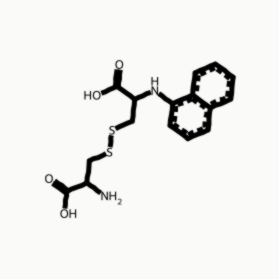 NC(CSSCC(Nc1cccc2ccccc12)C(=O)O)C(=O)O